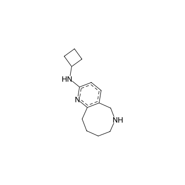 c1cc2c(nc1NC1CCC1)CCCCNC2